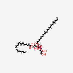 CCCCC/C=C\C/C=C\C/C=C\CCCCCCC(=O)OC[C@H](COP(=O)(O)OC[C@@H](O)CO)OC(=O)CCCCCCCCCCCCCCCCCCCCC